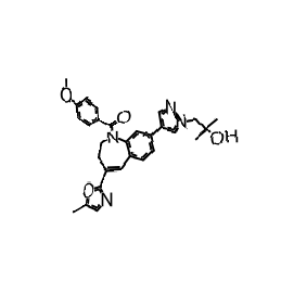 COc1ccc(C(=O)N2CCC(c3ncc(C)o3)=Cc3ccc(-c4cnn(CC(C)(C)O)c4)cc32)cc1